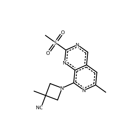 Cc1cc2cnc(S(C)(=O)=O)nc2c(N2CC(C)(C#N)C2)n1